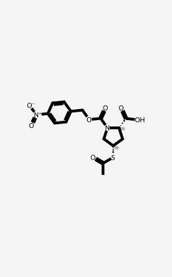 CC(=O)S[C@H]1C[C@@H](C(=O)O)N(C(=O)OCc2ccc([N+](=O)[O-])cc2)C1